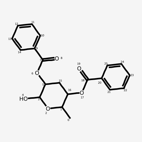 CC1OC(O)C(OC(=O)c2ccccc2)CC1OC(=O)c1ccccc1